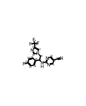 N#Cc1cnc(NC(Cn2cnc(C(F)(F)F)c2)c2ccc(F)cc2)nc1